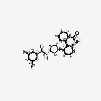 O=C(N[C@@H]1CCN(c2ccnc3[nH]c(=O)c4ccccc4c23)C1)c1cc(F)cc(F)c1